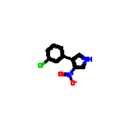 O=[N+]([O-])c1c[nH]cc1-c1cccc(Cl)c1